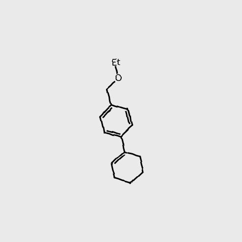 CCOCc1ccc(C2=CCCCC2)cc1